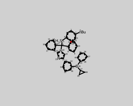 CCCCc1ccc([SiH2]C(c2ccccc2)(c2ccccc2)n2ccnc2)cc1.c1ccc(B(c2ccccc2)C2CC2)cc1